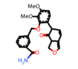 COc1ccc(C2C=CC3=COCC3C2=O)c(OCc2cccc(C(N)=O)c2)c1OC